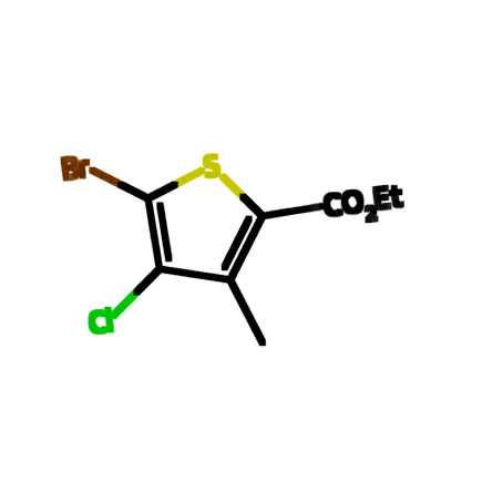 CCOC(=O)c1sc(Br)c(Cl)c1C